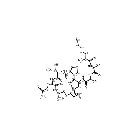 CC(C)[C@H](NC(=O)[C@@H](NC(=O)[C@@H](N)CCCCN)C(C)C)C(=O)N[C@@H](CC(N)=O)C(=O)N1CCC[C@H]1C(=O)N[C@H](C(=O)N[C@@H](CCC(N)=O)C(=O)N[C@@H](CCCCN)C(=O)O)[C@@H](C)O